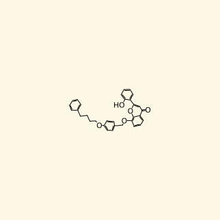 O=c1cc(-c2ccccc2O)oc2c(OCc3ccc(OCCCCc4ccccc4)cc3)cccc12